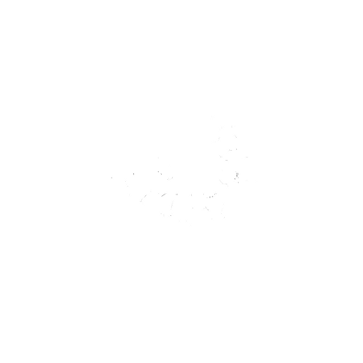 CNC(=O)c1c(-c2ccc(F)cc2)oc2ccc(-c3cccc(C(=O)NC(C)(C)Cc4ccc(F)cc4)c3)cc12